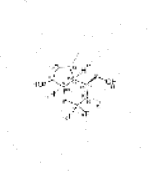 C[C@H]1OC(O)[C@@H]2CC(F)(F)[C@@H](C)[C@H](CO)[C@H]12